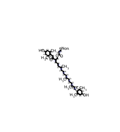 CCCCCCCCC/C=C/C(=O)OC\C(=C/C=C/C(C)=C/C=C/C=C(C)/C=C/C=C(C)/C=C/[C@H]1C(C)=C[C@H](O)CC1(C)C)C(=O)CC1=C(C)C[C@@H](O)CC1(C)C